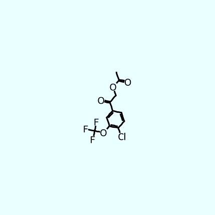 CC(=O)OCC(=O)c1ccc(Cl)c(OC(F)(F)F)c1